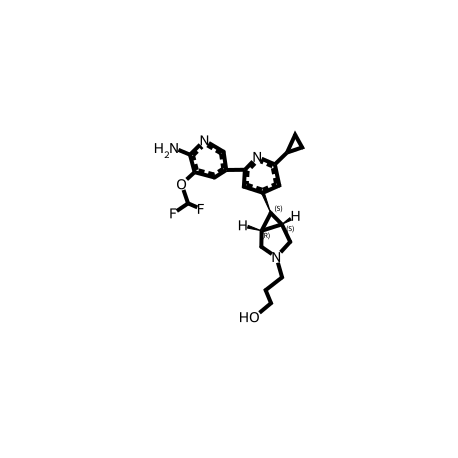 Nc1ncc(-c2cc([C@H]3[C@@H]4CN(CCCO)C[C@@H]43)cc(C3CC3)n2)cc1OC(F)F